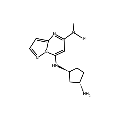 CC(C)N(C)c1cc(N[C@H]2CC[C@H](N)C2)n2nccc2n1